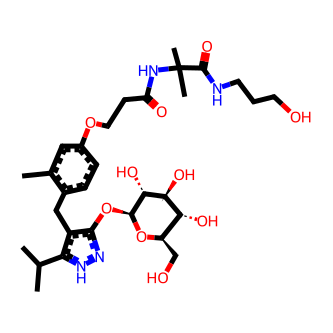 Cc1cc(OCCC(=O)NC(C)(C)C(=O)NCCCO)ccc1Cc1c(O[C@@H]2O[C@H](CO)[C@@H](O)[C@H](O)[C@H]2O)n[nH]c1C(C)C